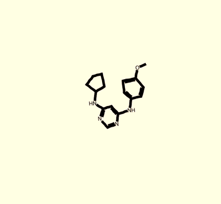 COc1ccc(Nc2cc(NC3CCCC3)ncn2)cc1